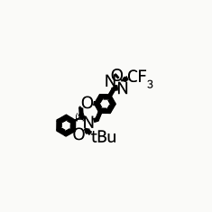 CC(C)(C)C(=O)N1Cc2ccc(-c3noc(C(F)(F)F)n3)cc2OC[C@@H]1c1ccccc1